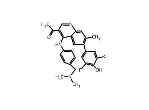 CC(=O)c1cnc2cc(C)c(-c3cc(F)c(O)c(Cl)c3)cc2c1Nc1ccc(CN(C)C)cc1